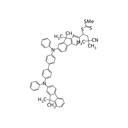 CSC(=S)SC(CC(C)(C)C#N)c1ccc2c(c1)C(C)(C)c1cc(N(c3ccccc3)c3ccc(-c4ccc(N(c5ccccc5)c5ccc6c(c5)C(C)(C)c5ccccc5-6)cc4)cc3)ccc1-2